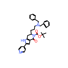 CC(C)(C)OC(=O)N1C(=O)c2cc(-c3ccncc3)[nH]c2CC1CCCN(Cc1ccccc1)Cc1ccccc1